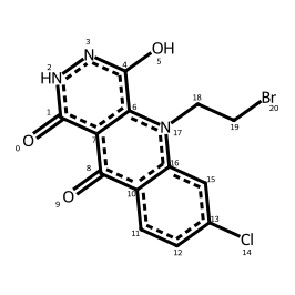 O=c1[nH]nc(O)c2c1c(=O)c1ccc(Cl)cc1n2CCBr